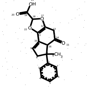 CC1(c2ccccc2)CC=C2C3=C(CC(=O)C21)OC(C(=O)O)O3